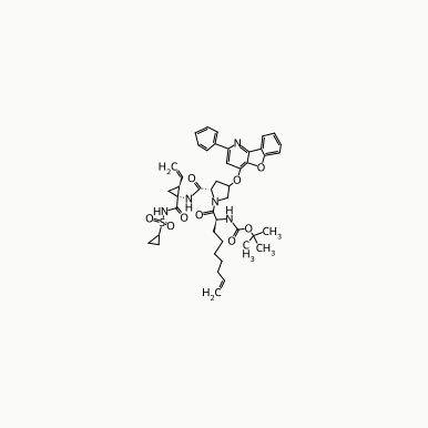 C=CCCCCC[C@H](NC(=O)OC(C)(C)C)C(=O)N1CC(Oc2cc(-c3ccccc3)nc3c2oc2ccccc23)C[C@H]1C(=O)N[C@]1(C(=O)NS(=O)(=O)C2CC2)C[C@H]1C=C